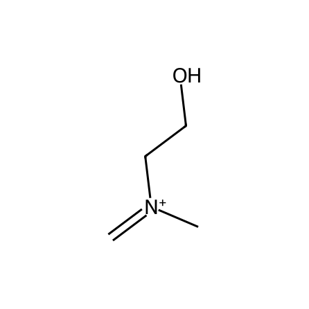 C=[N+](C)CCO